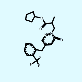 CC(Cn1ncc(Cc2ccccc2C(F)(F)F)cc1=O)C(=O)OC1CCCC1